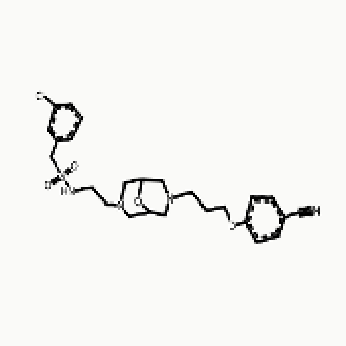 N#Cc1ccc(OCCCN2CC3CN(CCNS(=O)(=O)Cc4cccc(Cl)c4)CC(C2)O3)cc1